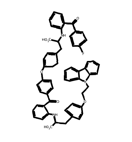 O=C(c1ccc(F)cc1)c1ccccc1NC(CC1=CC=C(Oc2ccc(C(=O)c3ccccc3NC(Cc3ccc(OCCn4c5ccccc5c5ccccc54)cc3)C(=O)O)cc2)CC1)C(=O)O